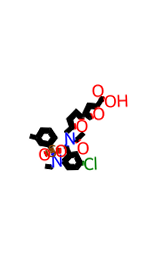 CCN(c1ccc(Cl)cc1CN(Cc1ccco1)C(C)=O)S(=O)(=O)c1cccc(C)c1.O=C(O)c1ccco1